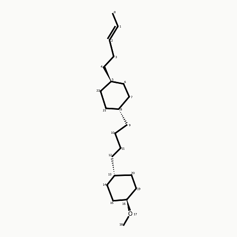 CC=CCC[C@H]1CC[C@H](CCCC[C@H]2CC[C@H](OC)CC2)CC1